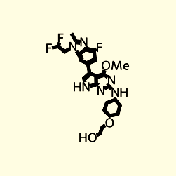 COc1nc(N[C@H]2CC[C@@H](OCCO)CC2)nc2[nH]cc(-c3cc(F)c4nc(C)n(CC(F)F)c4c3)c12